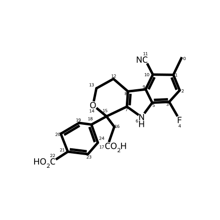 Cc1cc(F)c2[nH]c3c(c2c1C#N)CCOC3(CC(=O)O)c1ccc(C(=O)O)cc1